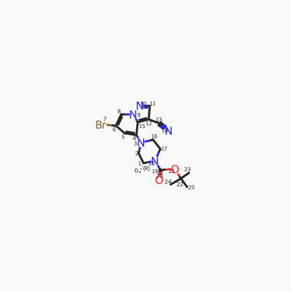 C[C@@H]1CN(c2cc(Br)cn3ncc(C#N)c23)CCN1C(=O)OC(C)(C)C